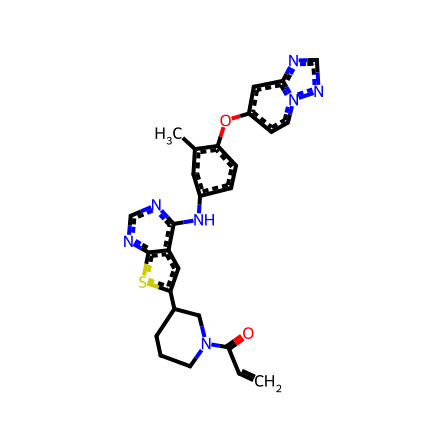 C=CC(=O)N1CCCC(c2cc3c(Nc4ccc(Oc5ccn6ncnc6c5)c(C)c4)ncnc3s2)C1